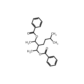 CC(C)CCC(C(C)OC(=O)c1ccccc1)C(C)OC(=O)c1ccccc1